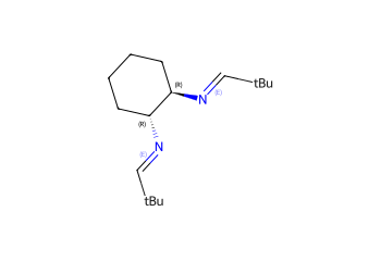 CC(C)(C)/C=N/[C@@H]1CCCC[C@H]1/N=C/C(C)(C)C